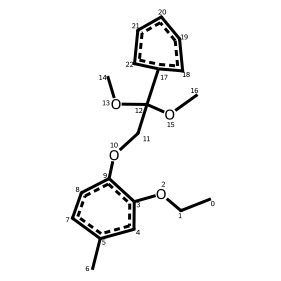 CCOc1cc(C)ccc1OCC(OC)(OC)c1ccccc1